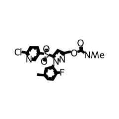 CNC(=O)OCc1cc(S(=O)(=O)c2ccc(Cl)nc2)n(-c2cc(C)ccc2F)n1